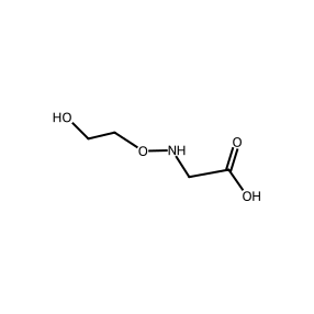 O=C(O)CNOCCO